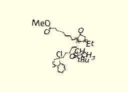 CC[C@@H]1CC(=O)[C@H](CC=CCCCC(=O)OC)[C@H]1C=CC(CCC1(Cl)CSc2ccccc21)O[Si](C)(C)C(C)(C)C